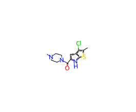 Cc1sc2[nH]c(C(=O)N3CCN(C)CC3)cc2c1Cl